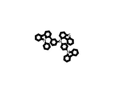 c1ccc(-n2c3ccccc3c3cccc(-c4cccc(N(c5ccc(-n6c7ccccc7c7ccccc76)cc5)c5cccc6sc7ccccc7c56)c4)c32)cc1